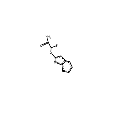 NC(=O)C(F)Oc1nc2ccccc2o1